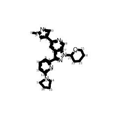 Cn1cc(-c2cc3c(-c4cccc(N5CCCC5)n4)nn(C4CCCCO4)c3cn2)cn1